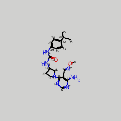 CO/N=C/c1c(N)ncnc1N1CCC(NC(=O)Nc2ccc(C(C)C)cc2)C1